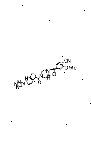 COc1cc([C@@H]2CN3CCN(C(=O)C4CCc5nc(-n6cnnn6)ccc54)C[C@@H]3CO2)ccc1C#N